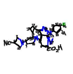 N#CC1CN(C2CCN(c3cc(C(=O)O)nc4c3c(C3CCC3)nn4-c3ccc(F)cc3)CC2)C1